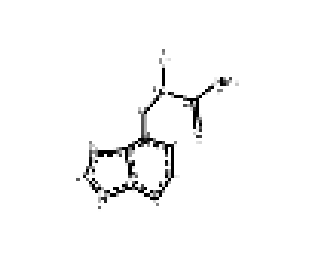 CCN(Cc1cccc2nsnc12)C(=O)NC